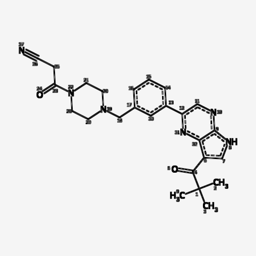 CC(C)(C)C(=O)c1c[nH]c2ncc(-c3cccc(CN4CCN(C(=O)CC#N)CC4)c3)nc12